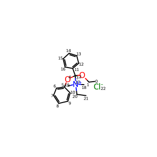 CCOC(Oc1ccccc1)(c1ccccc1)[N+](C)(C)CC.[Cl-]